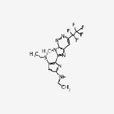 CCNc1ccc(SCC)c(-c2nc3cc(C(F)(F)C(F)(F)F)nnc3n2C)n1